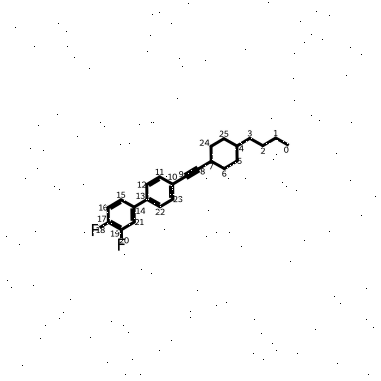 CCCCC1CCC(C#Cc2ccc(-c3ccc(F)c(F)c3)cc2)CC1